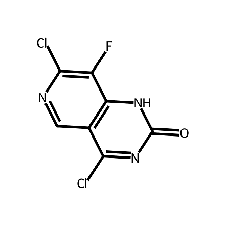 O=c1nc(Cl)c2cnc(Cl)c(F)c2[nH]1